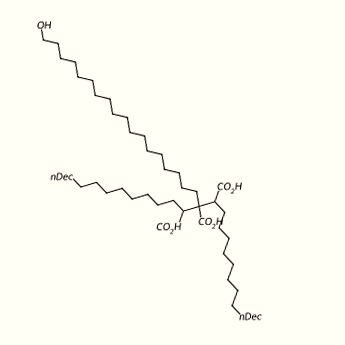 CCCCCCCCCCCCCCCCCCC(C(=O)O)C(CCCCCCCCCCCCCCCCCCO)(C(=O)O)C(CCCCCCCCCCCCCCCCCC)C(=O)O